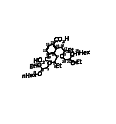 CCCCCCOC(COC(CC)Cc1c(C(=O)O)ccc(C(=O)O)c1CC(CC)OCC(OCC)OCCCCCC)OCC